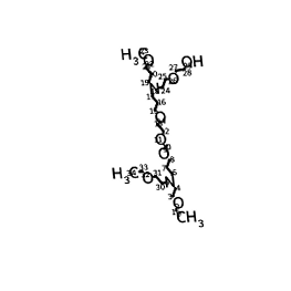 CCOCCN(CCCOCOCCOCCCN(CCCOC)CCOCCO)CCOCC